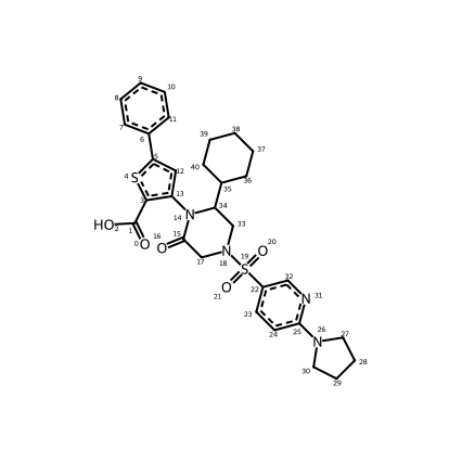 O=C(O)c1sc(-c2ccccc2)cc1N1C(=O)CN(S(=O)(=O)c2ccc(N3CCCC3)nc2)CC1C1CCCCC1